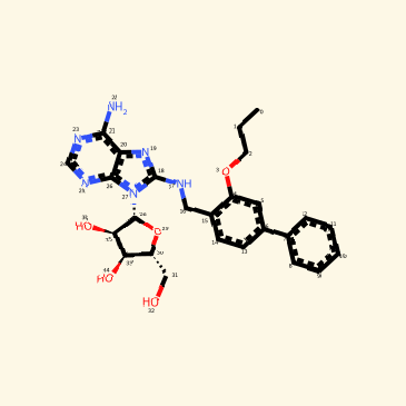 CCCOc1cc(-c2ccccc2)ccc1CNc1nc2c(N)ncnc2n1[C@@H]1O[C@H](CO)[C@@H](O)[C@H]1O